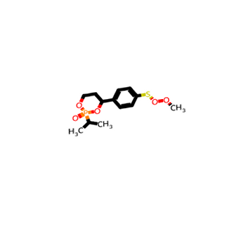 COOSc1ccc(C2CCOP(=O)(C(C)C)O2)cc1